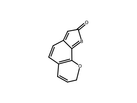 O=C1B=c2c3c(ccc2=C1)C=CCO3